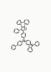 c1ccc(-c2ccc(N(c3ccc(-c4oc5c6ccccc6c6ccccc6c5c4-c4ccccc4)cc3)c3ccc4c(c3)c3ccccc3n4-c3ccccc3)cc2)cc1